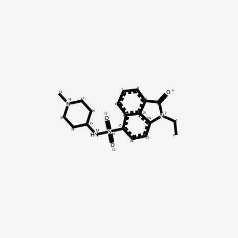 CCN1C(=O)c2cccc3c(S(=O)(=O)NC4CCN(C)CC4)ccc1c23